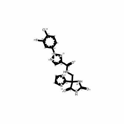 O=C1NC(=O)C(CNC(=O)c2cnn(-c3ccc(Cl)c(F)c3)n2)(c2nccs2)N1